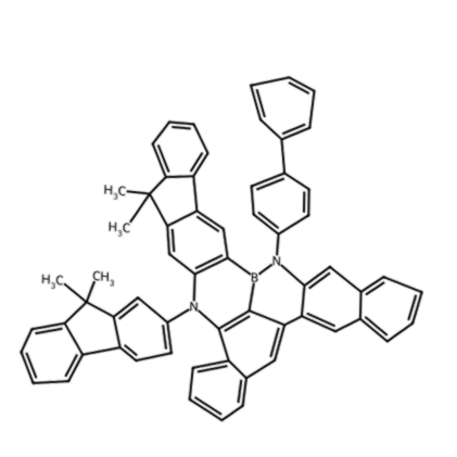 CC1(C)c2ccccc2-c2ccc(N3c4cc5c(cc4B4c6c(cc7ccccc7c63)-c3cc6ccccc6cc3N4c3ccc(-c4ccccc4)cc3)-c3ccccc3C5(C)C)cc21